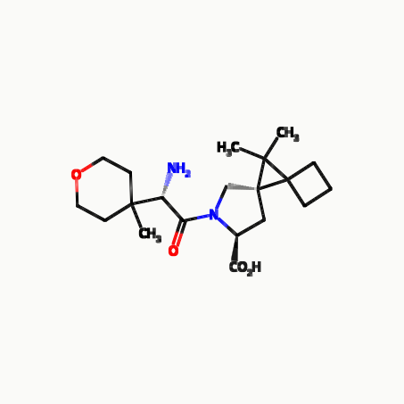 CC1([C@H](N)C(=O)N2C[C@]3(C[C@H]2C(=O)O)C(C)(C)C32CCC2)CCOCC1